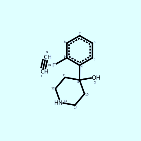 C#C.OC1(c2ccccc2F)CCNCC1